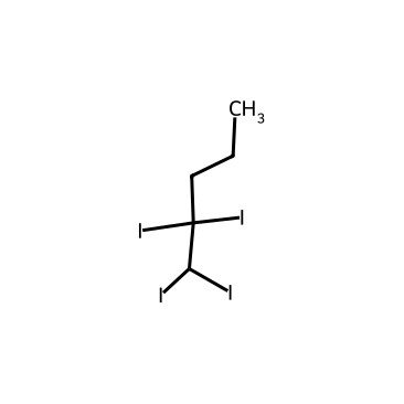 CCCC(I)(I)C(I)I